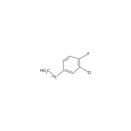 O=C(O)[14CH2]c1ccc(F)c(Cl)c1